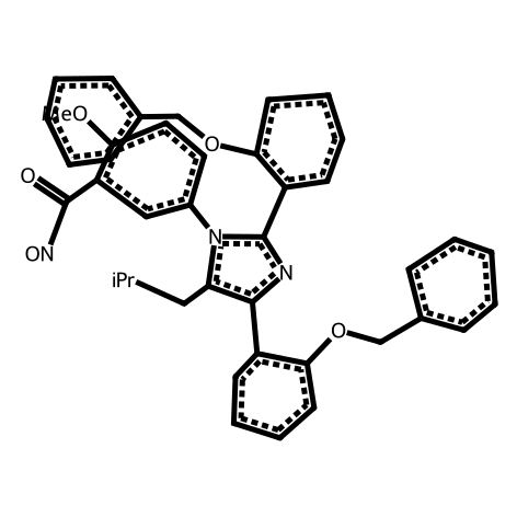 COc1ccc(-n2c(-c3ccccc3OCc3ccccc3)nc(-c3ccccc3OCc3ccccc3)c2CC(C)C)cc1C(=O)N=O